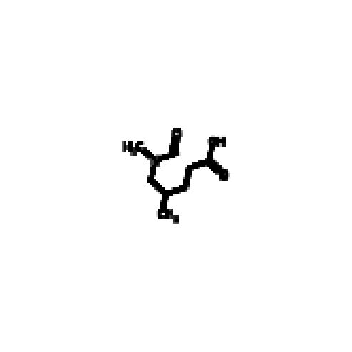 CC(CCC(=O)O)CN(C)[C]=O